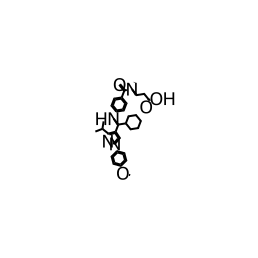 COc1ccc(-n2cc(C(Nc3ccc(C(=O)N(C)CCC(=O)O)cc3)C3CCCCC3)c(C(C)C)n2)cc1